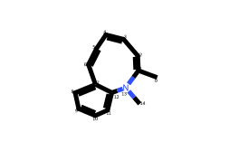 Cc1cccccc2ccccc2n1C